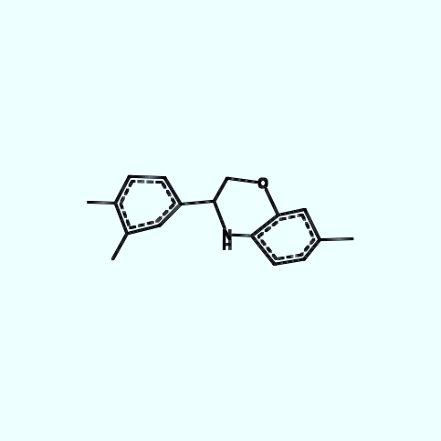 Cc1ccc2c(c1)OCC(c1ccc(C)c(C)c1)N2